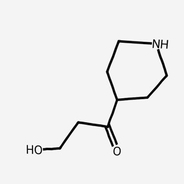 O=C(CCO)C1CCNCC1